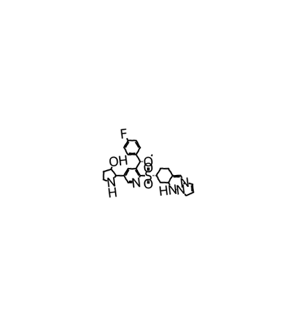 CO[C@@H](c1ccc(F)cc1)c1cc(C2NCCC2O)cnc1S(=O)(=O)[C@@H]1CCC2=CN3C=CCN3NC2C1